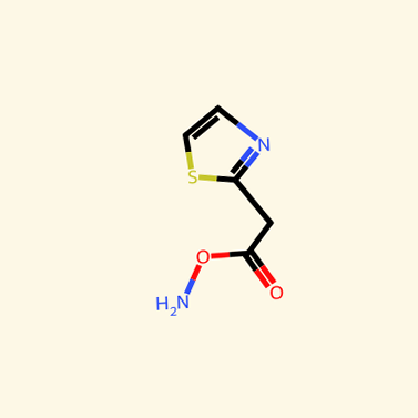 NOC(=O)Cc1nccs1